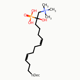 CCCCCCCCCCCC/C=C\CC/C=C\CCCC(O)(C[N+](C)(C)C)P(=O)(O)O